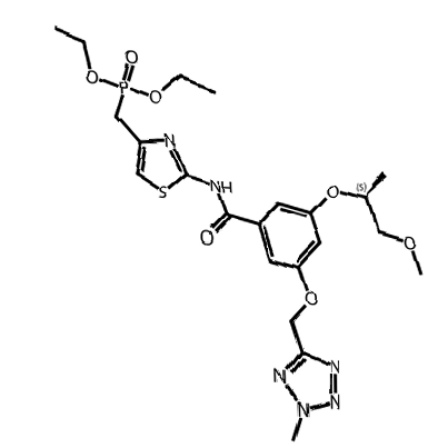 CCOP(=O)(Cc1csc(NC(=O)c2cc(OCc3nnn(C)n3)cc(O[C@@H](C)COC)c2)n1)OCC